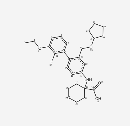 CCOc1cccc(-c2ccc(NC3(C(=O)O)CCOCC3)cc2COC2CCCC2)c1F